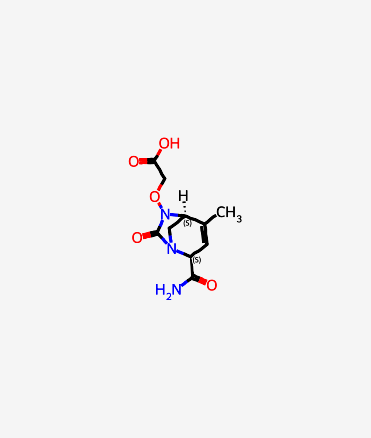 CC1=C[C@@H](C(N)=O)N2C[C@H]1N(OCC(=O)O)C2=O